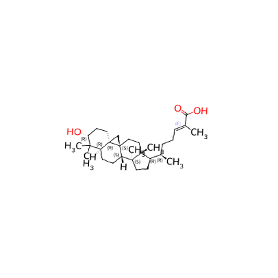 C/C(=C\CC[C@@H](C)[C@H]1CC[C@@]2(C)[C@@H]3CC[C@H]4C(C)(C)[C@H](O)CC[C@@]45C[C@@]35CC[C@]12C)C(=O)O